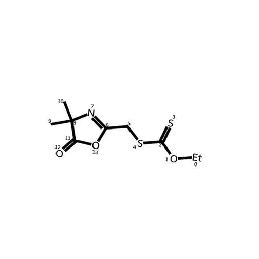 CCOC(=S)SCC1=NC(C)(C)C(=O)O1